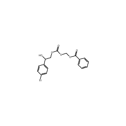 CCc1ccc(C(O)COC(=O)OCOC(=O)c2ccccc2)cc1